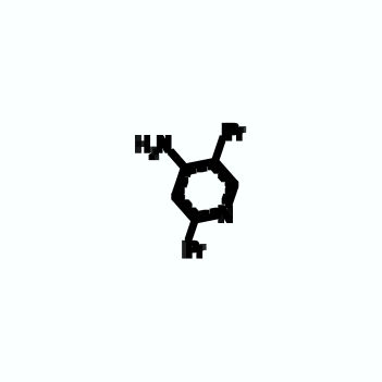 CC(C)c1cc(N)c(C(C)C)cn1